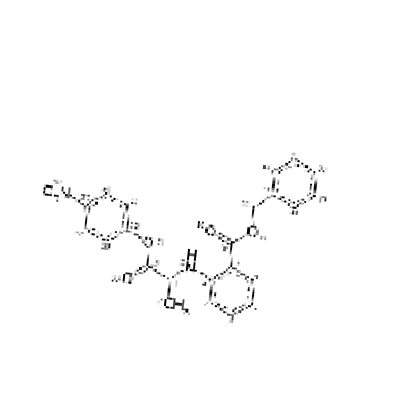 CC(Nc1ccccc1C(=O)OCc1ccccc1)C(=O)Oc1ccc([N+](=O)[O-])cc1